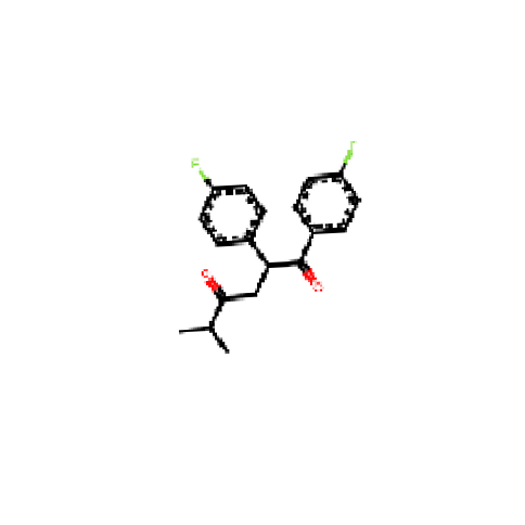 CC(C)C(=O)CC(C(=O)c1ccc(F)cc1)c1ccc(F)cc1